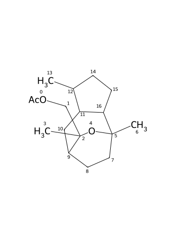 CC(=O)OCC1(C)OC2(C)CCC1CC1C(C)CCC12